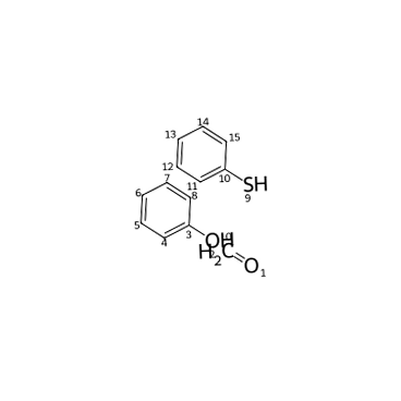 C=O.Oc1ccccc1.Sc1ccccc1